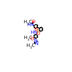 COc1cc(NS(=O)(=O)c2ccccc2C2=CCC(NC(C)=O)C=C2)ccc1-n1cnc(C)c1